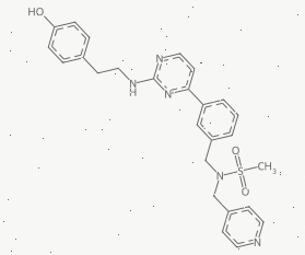 CS(=O)(=O)N(Cc1ccncc1)Cc1cccc(-c2ccnc(NCCc3ccc(O)cc3)n2)c1